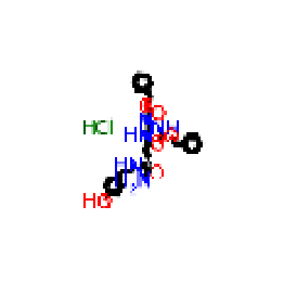 Cl.NC(=O)[C@@H](CCCNC(=NC(=O)OCc1ccccc1)NC(=O)OCc1ccccc1)NCCc1ccc(O)cc1